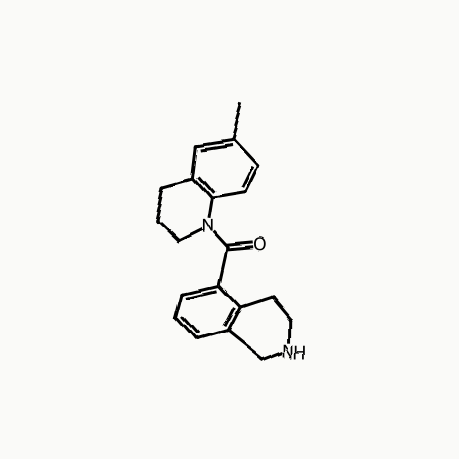 Cc1ccc2c(c1)CCCN2C(=O)c1cccc2c1CCNC2